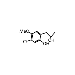 COc1cc(CC(C)O)c(O)cc1Cl